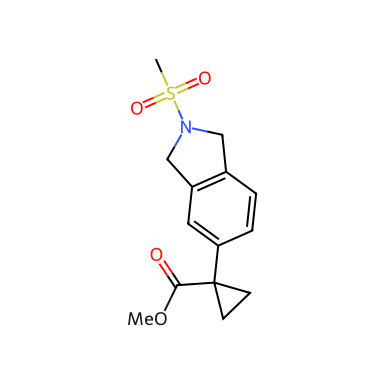 COC(=O)C1(c2ccc3c(c2)CN(S(C)(=O)=O)C3)CC1